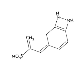 C=C(/C=C1/C=Cc2[nH][nH]c2C1)S(=O)(=O)O